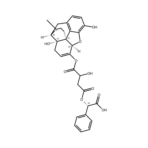 CN1CC[C@]23c4c5ccc(O)c4O[C@H]2C(OC(=O)C(O)CC(=O)O[C@H](C(=O)O)c2ccccc2)=CC[C@@]3(O)[C@H]1C5